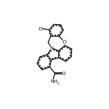 NC(=O)c1cccc2c1c1[c]cccc1n2Cc1c(Cl)cccc1Cl